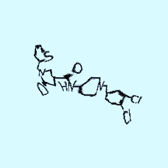 O=C(NC1CCN(Cc2ccc(Cl)c(Cl)c2)CC1)C1CC(=O)N(Cc2cccs2)C1